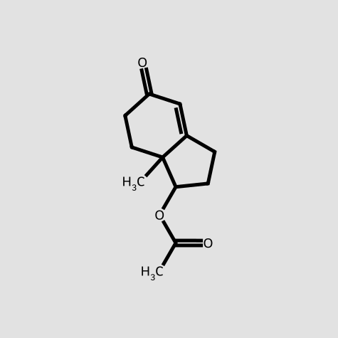 CC(=O)OC1CCC2=CC(=O)CCC21C